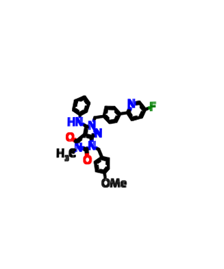 COc1ccc(Cn2c(=O)n(C)c(=O)c3c(Nc4ccccc4)n(Cc4ccc(-c5ccc(F)cn5)cc4)nc32)cc1